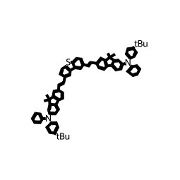 CC(C)(C)c1ccc(N(c2ccccc2)c2ccc3c(c2)C(C)(C)c2cc(/C=C/c4ccc5sc6ccc(/C=C/c7ccc8c(c7)C(C)(C)c7cc(N(c9ccccc9)c9ccc(C(C)(C)C)cc9)ccc7-8)cc6c5c4)ccc2-3)cc1